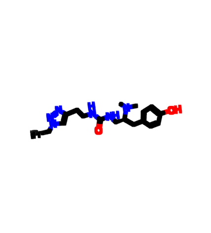 CC(C)Cn1cc(CCNC(=O)NC[C@H](Cc2ccc(O)cc2)N(C)C)nn1